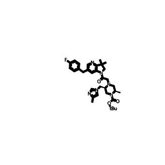 Cc1cn(C[C@@H]2CN(C(=O)OC(C)(C)C)[C@H](C)CN2CC(=O)N2CC(C)(C)c3ncc(Cc4ccc(F)cc4)cc32)cn1